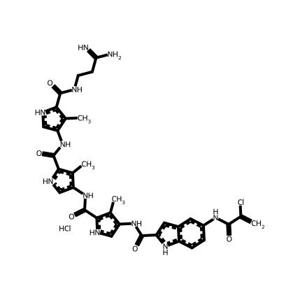 C=C(Cl)C(=O)Nc1ccc2[nH]c(C(=O)Nc3c[nH]c(C(=O)Nc4c[nH]c(C(=O)Nc5c[nH]c(C(=O)NCCC(=N)N)c5C)c4C)c3C)cc2c1.Cl